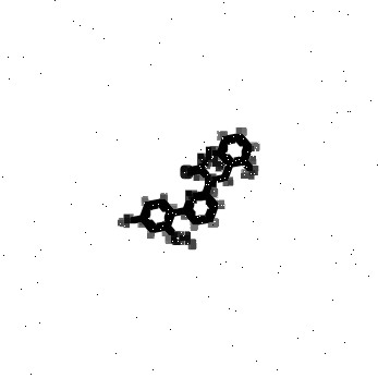 Cc1cc(F)ccc1-c1cccc(N(Cc2c(F)cccc2F)C(N)=O)n1